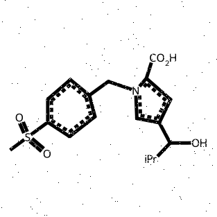 CC(C)C(O)c1cc(C(=O)O)n(Cc2ccc(S(C)(=O)=O)cc2)c1